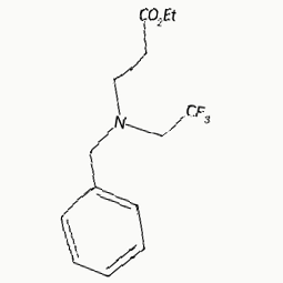 CCOC(=O)CCN(Cc1ccccc1)CC(F)(F)F